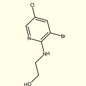 OCCNc1ncc(Cl)cc1Br